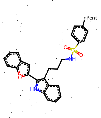 CCCCCc1ccc(S(=O)(=O)NCCCc2c(-c3cc4ccccc4o3)[nH]c3ccccc23)cc1